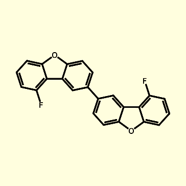 Fc1cccc2oc3ccc(-c4ccc5oc6cccc(F)c6c5c4)cc3c12